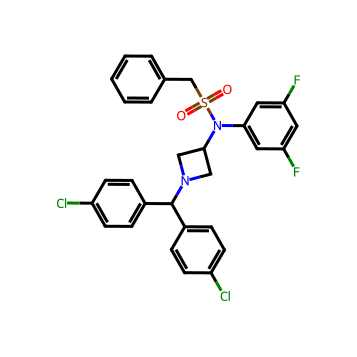 O=S(=O)(Cc1ccccc1)N(c1cc(F)cc(F)c1)C1CN(C(c2ccc(Cl)cc2)c2ccc(Cl)cc2)C1